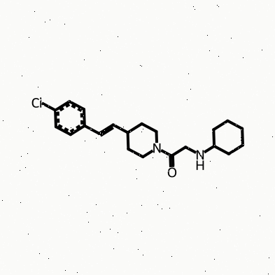 O=C(CNC1CCCCC1)N1CCC(/C=C/c2ccc(Cl)cc2)CC1